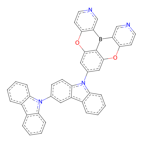 c1ccc2c(c1)c1ccccc1n2-c1ccc2c(c1)c1ccccc1n2-c1cc2c3c(c1)Oc1ccncc1B3c1cnccc1O2